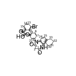 O=C1CC(=O)N(c2ccc(-c3c(Br)cccc3S(=O)(=O)O)cc2)c2ccc3c(c2N1)CCCC3